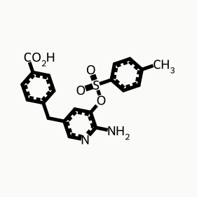 Cc1ccc(S(=O)(=O)Oc2cc(Cc3ccc(C(=O)O)cc3)cnc2N)cc1